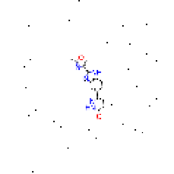 Cc1nc(-c2nc3cc(C4=NNC(=O)CC4)ccc3[nH]2)co1